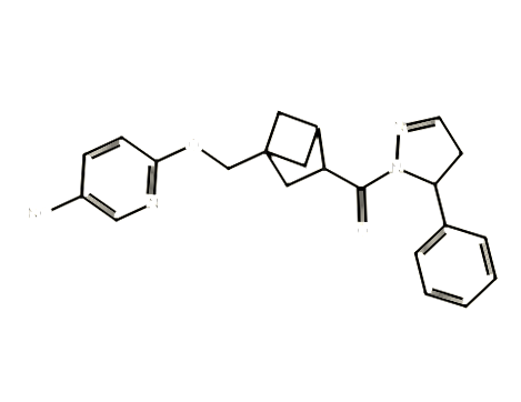 N#Cc1ccc(OCC23CC(C2)C(C(=O)N2N=CCC2c2ccccc2)C3)nc1